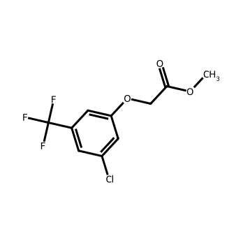 COC(=O)COc1cc(Cl)cc(C(F)(F)F)c1